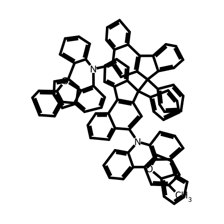 Cc1cccc(-c2ccccc2N(c2cc3c(c4ccccc24)-c2ccccc2C3(c2ccccc2)C2(c3ccccc3)c3ccccc3-c3c2cc(N(c2ccccc2C2=CC=CCC2)c2cccc4c2oc2ccccc24)c2ccccc32)c2cccc3c2oc2ccccc23)c1